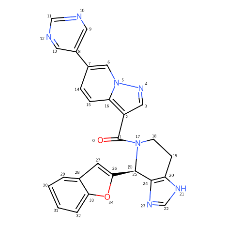 O=C(c1cnn2cc(-c3cncnc3)ccc12)N1CCc2[nH]cnc2[C@H]1c1cc2ccccc2o1